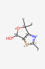 Cc1nc2c(s1)B(O)OC2(C)C